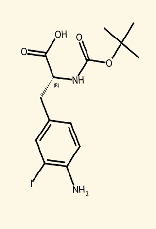 CC(C)(C)OC(=O)N[C@H](Cc1ccc(N)c(I)c1)C(=O)O